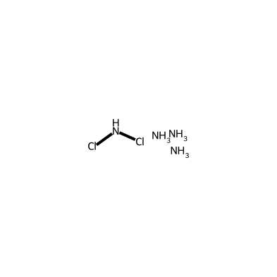 ClNCl.N.N.N